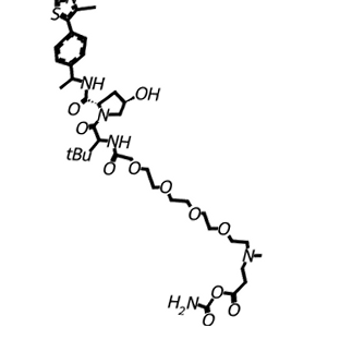 Cc1ncsc1-c1ccc(C(C)NC(=O)[C@@H]2C[C@@H](O)CN2C(=O)C(NC(=O)COCCOCCOCCOCCN(C)CCC(=O)OC(N)=O)C(C)(C)C)cc1